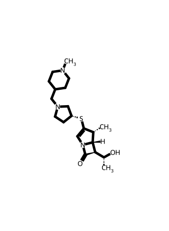 C[C@@H](O)[C@H]1C(=O)N2C=C(S[C@@H]3CCN(CC4CCN(C)CC4)C3)[C@H](C)[C@H]12